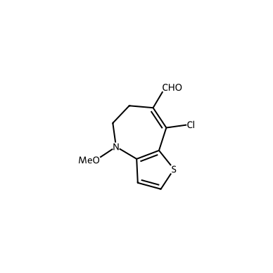 CON1CCC(C=O)=C(Cl)c2sccc21